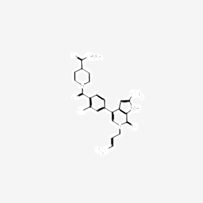 CC=CCn1cc(-c2ccc(C(=O)N3CCC(C(=O)OC)CC3)c(Cl)c2)c2cc(C)[nH]c2c1=O